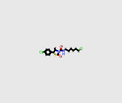 CC1C(c2ccc(Cl)cc2)SC(=O)N1C(=O)NCCCCCCCl